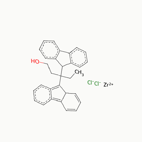 CCC(CCO)(C1=c2ccccc2=C2C=CC=CC21)C1c2ccccc2-c2ccccc21.[Cl-].[Cl-].[Zr+2]